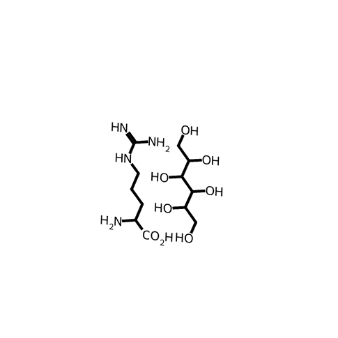 N=C(N)NCCCC(N)C(=O)O.OCC(O)C(O)C(O)C(O)CO